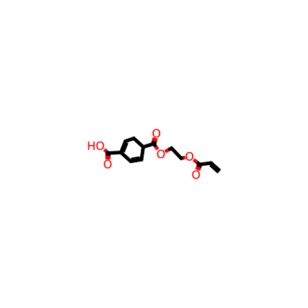 C=CC(=O)OCCOC(=O)C1C=CC(C(=O)O)=CC1